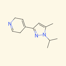 Cc1cc(C2=CCN=CC2)nn1C(C)C